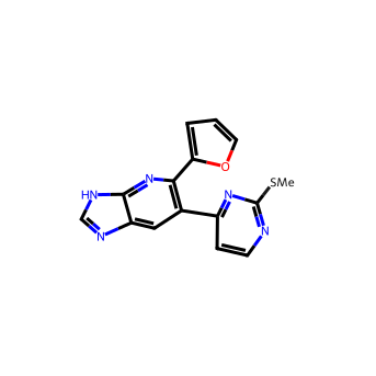 CSc1nccc(-c2cc3nc[nH]c3nc2-c2ccco2)n1